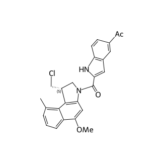 COc1cc2c(c3c(C)cccc13)[C@H](CCl)CN2C(=O)c1cc2cc(C(C)=O)ccc2[nH]1